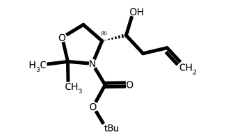 C=CCC(O)[C@H]1COC(C)(C)N1C(=O)OC(C)(C)C